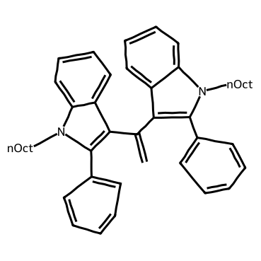 C=C(c1c(-c2ccccc2)n(CCCCCCCC)c2ccccc12)c1c(-c2ccccc2)n(CCCCCCCC)c2ccccc12